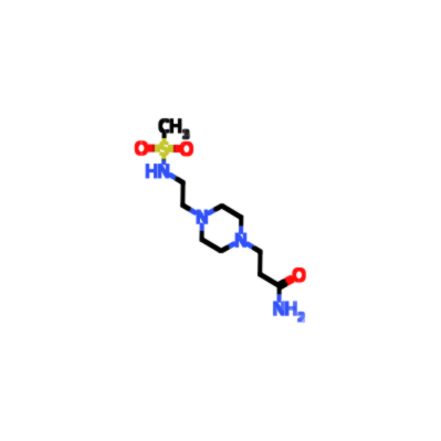 CS(=O)(=O)NCCN1CCN(CCC(N)=O)CC1